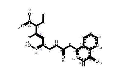 CCC(/C(C)=C/C(CNC(=O)Cc1n[nH]c(=O)c2ncccc12)=N\O)[N+](=O)[O-]